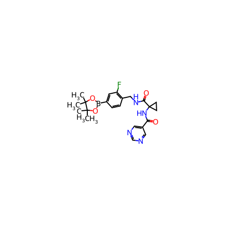 CC1(C)OB(c2ccc(CNC(=O)C3(NC(=O)c4cncnc4)CC3)c(F)c2)OC1(C)C